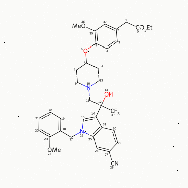 CCOC(=O)Cc1ccc(OC2CCN(CC(O)(c3cn(Cc4ccccc4OC)c4cc(C#N)ccc34)C(F)(F)F)CC2)c(OC)c1